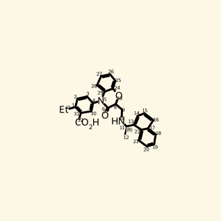 CCc1ccc(N2C(=O)C(CN[C@H](C)c3cccc4ccccc34)Oc3ccccc32)cc1C(=O)O